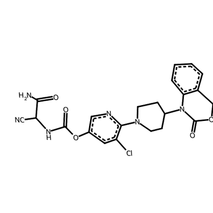 N#CC(NC(=O)Oc1cnc(N2CCC(N3C(=O)OCc4ccccc43)CC2)c(Cl)c1)C(N)=O